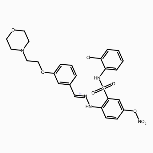 O=[N+]([O-])Oc1ccc(N/N=C/c2cccc(OCCN3CCOCC3)c2)c(S(=O)(=O)Nc2ccccc2Cl)c1